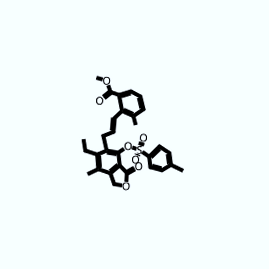 CCc1c(C)c2c(c(OS(=O)(=O)c3ccc(C)cc3)c1C/C=C/c1c(C)cccc1C(=O)OC)C(=O)OC2